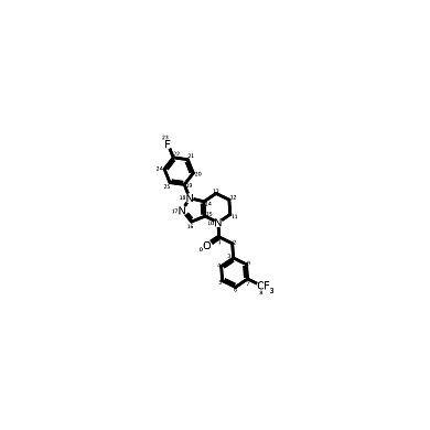 O=C(Cc1cccc(C(F)(F)F)c1)N1CCCc2c1cnn2-c1ccc(F)cc1